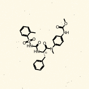 COC(=O)Nc1ccc(N(C)C(=O)[C@H](Cc2ccccc2)NC(=O)NS(=O)(=O)c2ccccc2C)cc1